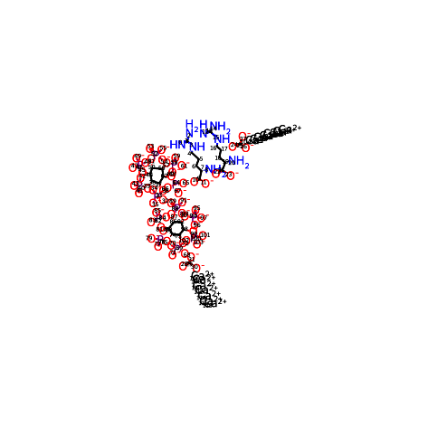 N=C(N)NCCC[C@H](N)C(=O)[O-].N=C(N)NCCC[C@H](N)C(=O)[O-].O=C([O-])[O-].O=C([O-])[O-].O=P([O-])([O-])O[C@H]1[C@H](OP(=O)([O-])[O-])[C@@H](OP(=O)([O-])[O-])[C@H](OP(=O)([O-])[O-])[C@@H](OP(=O)([O-])[O-])[C@H]1OP(=O)([O-])[O-].O=P([O-])([O-])O[C@H]1[C@H](OP(=O)([O-])[O-])[C@@H](OP(=O)([O-])[O-])[C@H](OP(=O)([O-])[O-])[C@@H](OP(=O)([O-])[O-])[C@H]1OP(=O)([O-])[O-].[Ca+2].[Ca+2].[Ca+2].[Ca+2].[Ca+2].[Ca+2].[Ca+2].[Ca+2].[Ca+2].[Ca+2].[Ca+2].[Ca+2].[Ca+2].[Ca+2].[Ca+2]